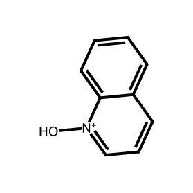 O[n+]1cccc2ccccc21